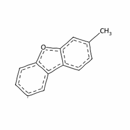 Cc1ccc2c(c1)oc1cc[c]cc12